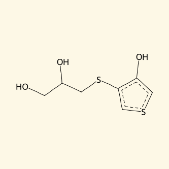 OCC(O)CSc1cscc1O